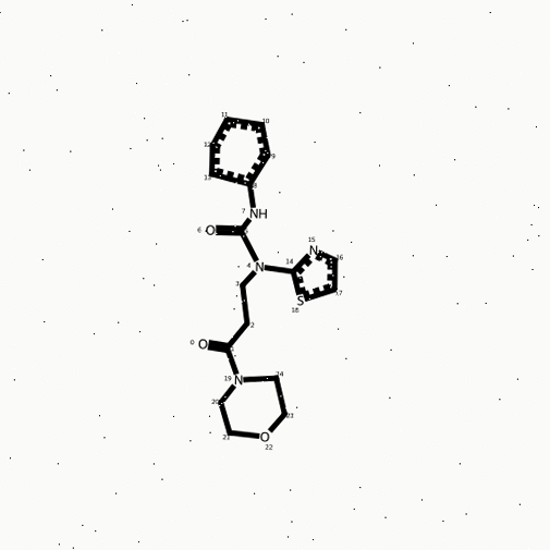 O=C(CCN(C(=O)Nc1ccccc1)c1nccs1)N1CCOCC1